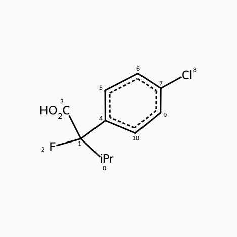 CC(C)C(F)(C(=O)O)c1ccc(Cl)cc1